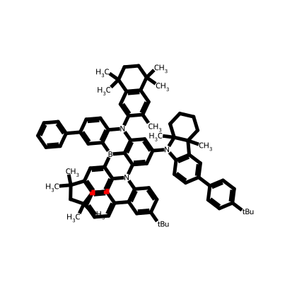 Cc1cc2c(cc1N1c3ccc(-c4ccccc4)cc3B3c4cc5c(cc4N(c4ccc(C(C)(C)C)cc4-c4ccccc4)c4cc(N6c7ccc(-c8ccc(C(C)(C)C)cc8)cc7C7(C)CCCCC67C)cc1c43)C(C)(C)CC5(C)C)C(C)(C)CCC2(C)C